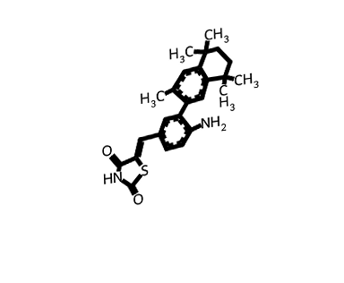 Cc1cc2c(cc1-c1cc(/C=C3\SC(=O)NC3=O)ccc1N)C(C)(C)CCC2(C)C